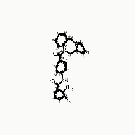 Cc1c(F)cccc1C(=O)Nc1ccc(C(=O)N2Cc3cccn3Cc3ccccc32)cc1